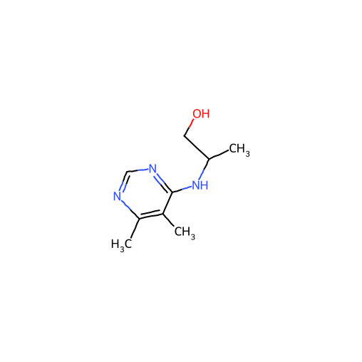 Cc1ncnc(NC(C)CO)c1C